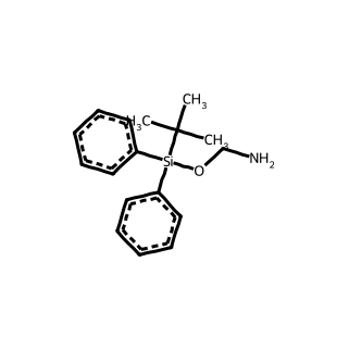 CC(C)(C)[Si](OCN)(c1ccccc1)c1ccccc1